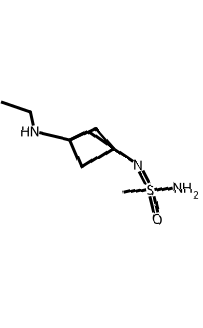 CCNC12CC(N=S(C)(N)=O)(C1)C2